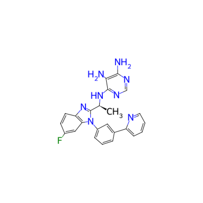 C[C@H](Nc1ncnc(N)c1N)c1nc2ccc(F)cc2n1-c1cccc(-c2ccccn2)c1